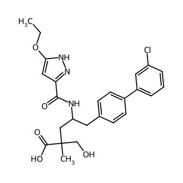 CCOc1cc(C(=O)NC(Cc2ccc(-c3cccc(Cl)c3)cc2)CC(C)(CO)C(=O)O)n[nH]1